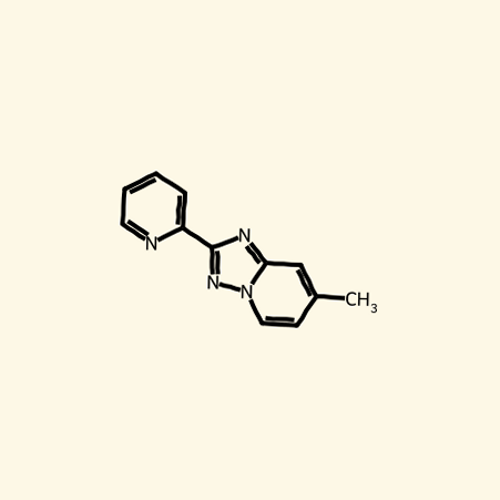 Cc1ccn2nc(-c3ccccn3)nc2c1